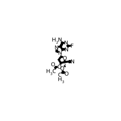 CC(=O)OC[C@@]1(C#N)O[C@@H](n2cnc3c(N)nc(F)nc32)CC1OC(C)=O